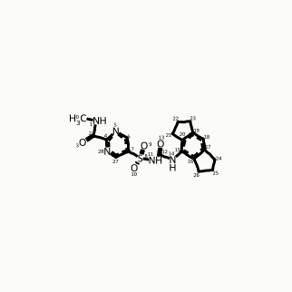 CNC(=O)c1ncc(S(=O)(=O)NC(=O)Nc2c3c(cc4c2CCC4)CCC3)cn1